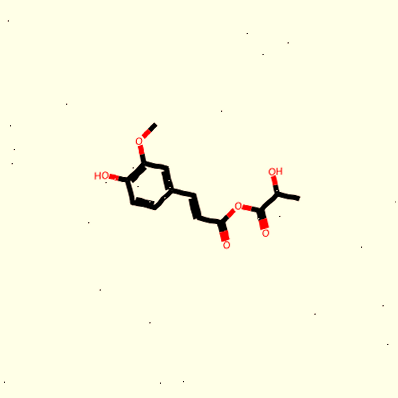 COc1cc(C=CC(=O)OC(=O)C(C)O)ccc1O